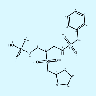 O=P(O)(O)OCC(CNS(=O)(=O)Cc1ccccc1)S(=O)(=O)CC1CCCC1